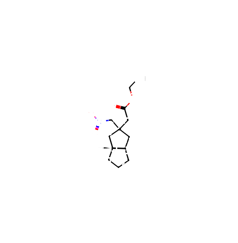 CCOC(=O)CC1(C[N+](=O)[O-])CC2CCC[C@@H]2C1